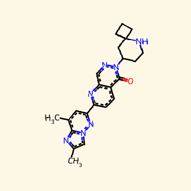 Cc1cn2nc(-c3ccc4c(=O)n(C5CCNC6(CCC6)C5)ncc4n3)cc(C)c2n1